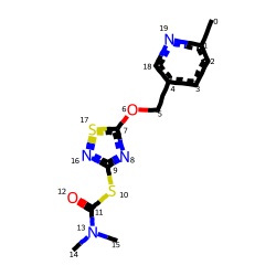 Cc1ccc(COc2nc(SC(=O)N(C)C)ns2)cn1